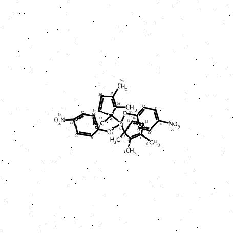 CC1=C(C)[C](C)([Zr]([O]c2ccc([N+](=O)[O-])cc2)([O]c2ccc([N+](=O)[O-])cc2)[C]2(C)C=CC(C)=C2C)C=C1